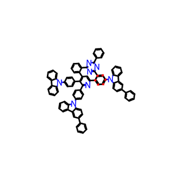 c1ccc(-c2ccc3c(c2)c2ccccc2n3-c2ccc(-c3cc(-c4ccccc4-c4nc(-c5ccccc5)nc(-c5ccccc5)n4)c(-c4ccc(-n5c6ccccc6c6ccccc65)cc4)c(-c4ccc(-n5c6ccccc6c6cc(-c7ccccc7)ccc65)cc4)n3)cc2)cc1